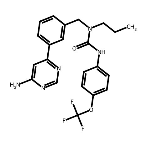 CCCN(Cc1cccc(-c2cc(N)ncn2)c1)C(=O)Nc1ccc(OC(F)(F)F)cc1